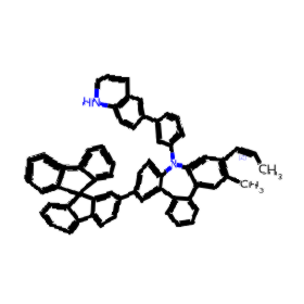 C/C=C\c1cc2c(cc1C)-c1ccccc1-c1cc(-c3ccc4c(c3)C3(c5ccccc5-c5ccccc53)c3ccccc3-4)ccc1N2c1cccc(-c2ccc3c(c2)C=CCN3)c1